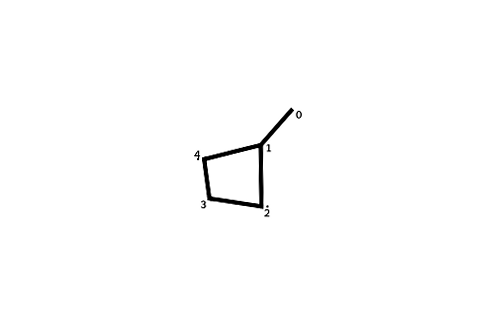 CC1[CH]C[CH]1